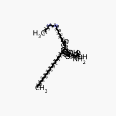 CCCC/C=C\C/C=C\CCCCCCCC(=O)OC[C@H](COP(=O)(O)OC[C@H](N)C(=O)O)OC(=O)CCCCCCCCCCCCCCCCCCCC